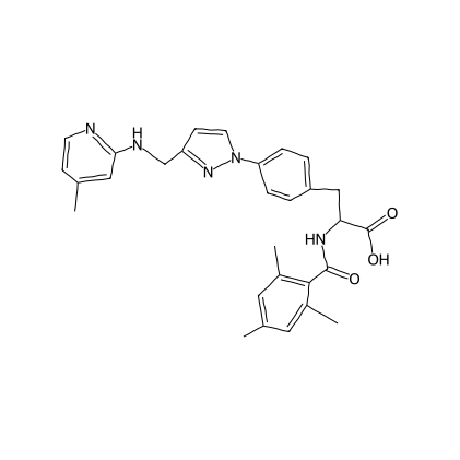 Cc1ccnc(NCc2ccn(-c3ccc(CC(NC(=O)c4c(C)cc(C)cc4C)C(=O)O)cc3)n2)c1